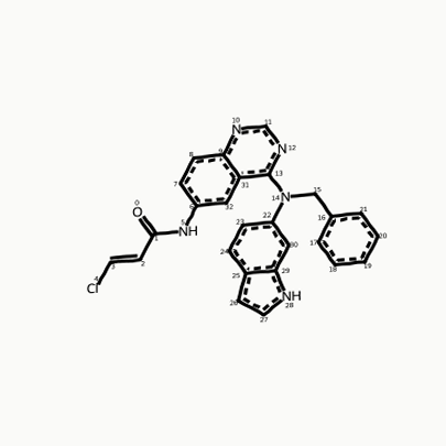 O=C(C=CCl)Nc1ccc2ncnc(N(Cc3ccccc3)c3ccc4cc[nH]c4c3)c2c1